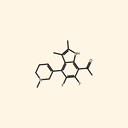 CC(=O)c1c(F)c(F)c(C2=CCCN(C)C2)c2c(C)c(C)[nH]c12